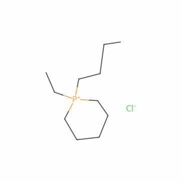 CCCC[P+]1(CC)CCCCC1.[Cl-]